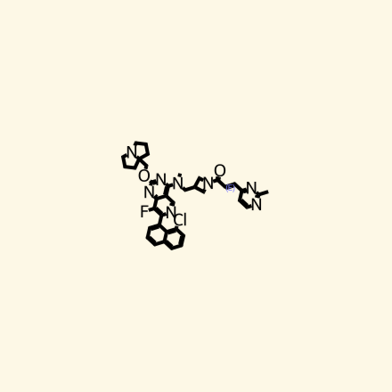 Cc1nccc(/C=C/C(=O)N2CC(CN(C)c3nc(OCC45CCCN4CCC5)nc4c(F)c(-c5cccc6cccc(Cl)c56)ncc34)C2)n1